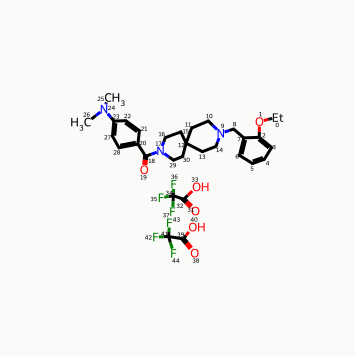 CCOc1ccccc1CN1CCC2(CC1)CCN(C(=O)c1ccc(N(C)C)cc1)CC2.O=C(O)C(F)(F)F.O=C(O)C(F)(F)F